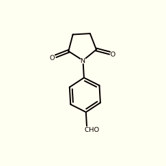 O=Cc1ccc(N2C(=O)CCC2=O)cc1